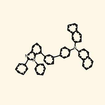 c1ccc(-c2nc3cccc(-c4cccc(-c5ccc(N(c6ccc7ccccc7c6)c6ccc7ccccc7c6)cc5)c4)c3n2-c2ccccc2)cc1